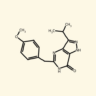 COc1ccc(Cc2nc3c(C(C)C)n[nH]c3c(=O)[nH]2)cc1